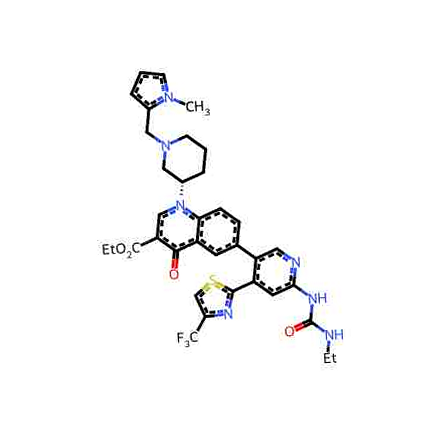 CCNC(=O)Nc1cc(-c2nc(C(F)(F)F)cs2)c(-c2ccc3c(c2)c(=O)c(C(=O)OCC)cn3[C@H]2CCCN(Cc3cccn3C)C2)cn1